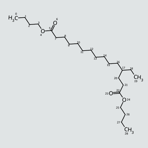 CCCCOC(=O)CCCCCCCCCCC(CC)CCC(=O)OCCCC